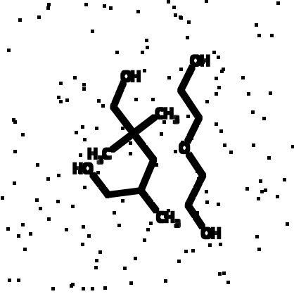 CC(CO)CC(C)(C)CO.OCCOCCO